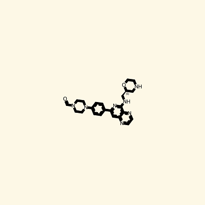 O=CN1CCN(c2ccc(-c3cc4nccnc4c(NC[C@@H]4CNCCO4)n3)cc2)CC1